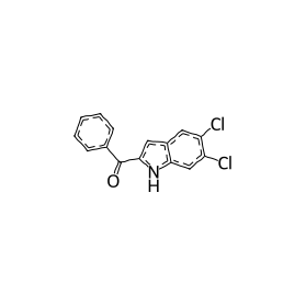 O=C(c1ccccc1)c1cc2cc(Cl)c(Cl)cc2[nH]1